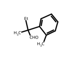 CCC(C)(C=O)c1ccccc1C